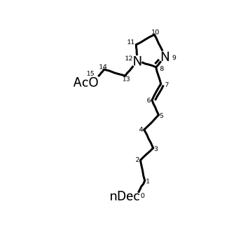 CCCCCCCCCCCCCCCC=CC1=NCCN1CCOC(C)=O